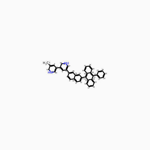 CC1=CC(C2=CC(c3ccc4ccc(-c5c6ccccc6c(-c6ccccc6)c6ccccc56)cc4c3)=CNC2)=CNC1